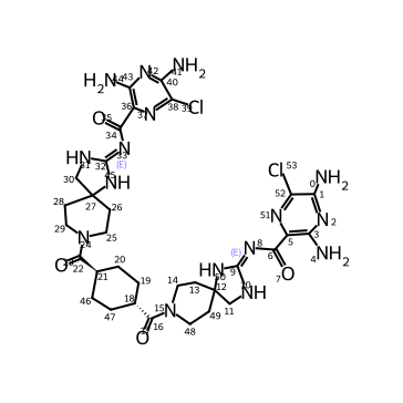 Nc1nc(N)c(C(=O)/N=C2\NCC3(CCN(C(=O)[C@H]4CC[C@H](C(=O)N5CCC6(CC5)CN/C(=N\C(=O)c5nc(Cl)c(N)nc5N)N6)CC4)CC3)N2)nc1Cl